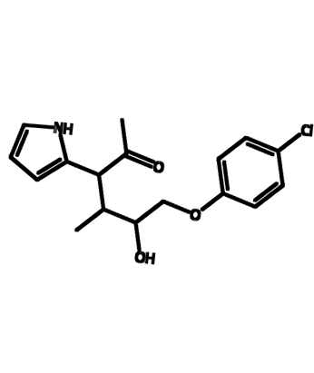 CC(=O)C(c1ccc[nH]1)C(C)C(O)COc1ccc(Cl)cc1